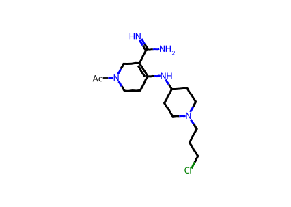 CC(=O)N1CCC(NC2CCN(CCCCl)CC2)=C(C(=N)N)C1